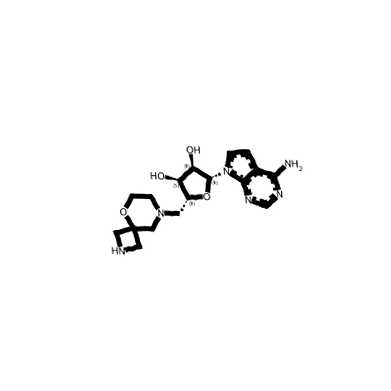 Nc1ncnc2c1ccn2[C@@H]1O[C@H](CN2CCOC3(CNC3)C2)[C@@H](O)[C@H]1O